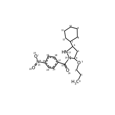 CCCOC1CC(C2CCCCC2)NN1C(=O)c1ccc([N+](=O)[O-])cc1